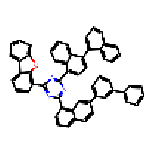 c1ccc(-c2cccc(-c3ccc4cccc(-c5nc(-c6ccc(-c7cccc8ccccc78)c7ccccc67)nc(-c6cccc7c6oc6ccccc67)n5)c4c3)c2)cc1